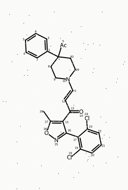 CC(=O)C1(c2ccccc2)CCN(C=CC(=O)c2c(-c3c(Cl)cccc3Cl)noc2C)CC1